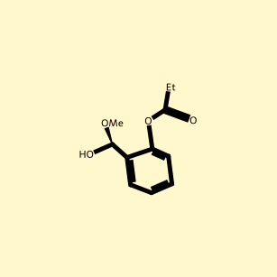 CCC(=O)Oc1ccccc1[C@@H](O)OC